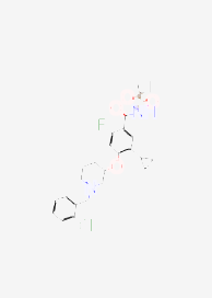 CS(=O)(=O)NC(=O)c1cc(C2CC2)c(OC2CCCN(Cc3ccccc3Cl)C2)cc1F